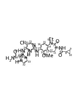 CCN1C(=O)[C@H](NC(=O)C2CC2)CCc2c1ccc(Nc1ncc(Cl)c(N[C@H]3[C@@H](C(N)=O)[C@@H]4C=C[C@H]3C4)n1)c2OC